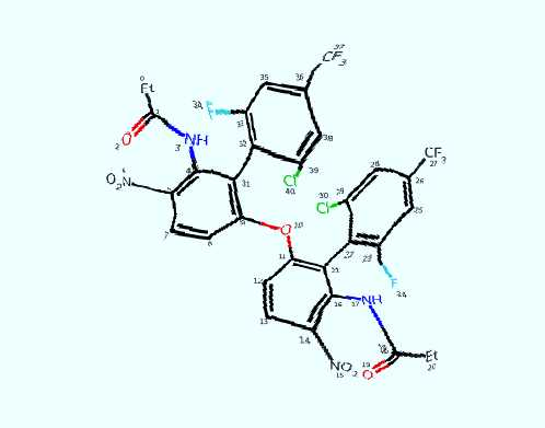 CCC(=O)Nc1c([N+](=O)[O-])ccc(Oc2ccc([N+](=O)[O-])c(NC(=O)CC)c2-c2c(F)cc(C(F)(F)F)cc2Cl)c1-c1c(F)cc(C(F)(F)F)cc1Cl